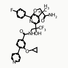 C[C@]1(C(N)=O)COc2c1cc(C(O)(CNC(=O)c1ccc(-c3ccncc3)c(OC3CC3)c1)C(F)(F)F)nc2-c1ccc(F)cc1